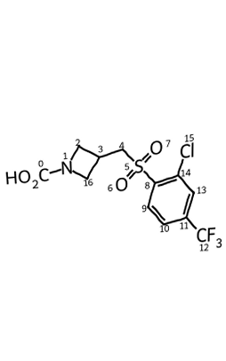 O=C(O)N1CC(CS(=O)(=O)c2ccc(C(F)(F)F)cc2Cl)C1